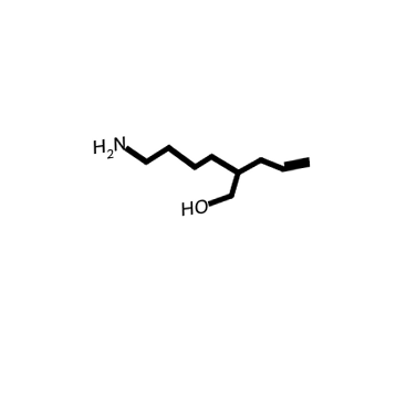 C=CCC(CO)CCCCN